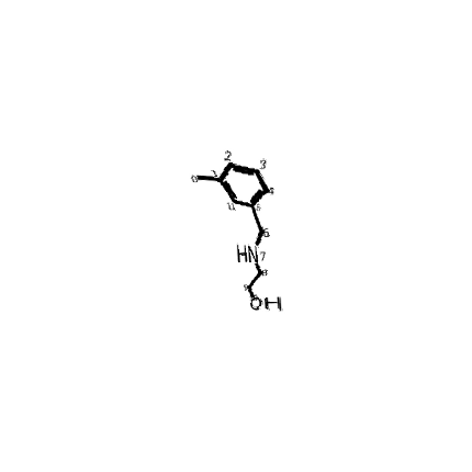 Cc1cccc(CNCCO)c1